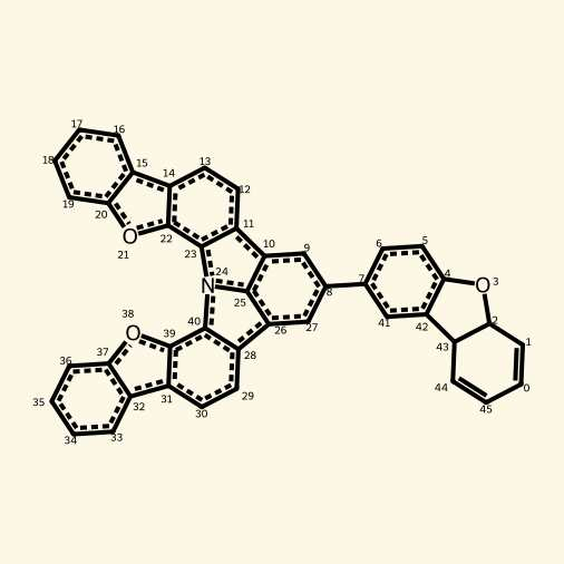 C1=CC2Oc3ccc(-c4cc5c6ccc7c8ccccc8oc7c6n6c5c(c4)c4ccc5c7ccccc7oc5c46)cc3C2C=C1